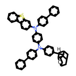 c1ccc(-c2ccc(N(c3ccc([C@@H]4CCC5CC6CC(C5)CC4C6)cc3)c3ccc(N(c4ccc(-c5ccccc5)cc4)c4ccc5c(c4)sc4ccccc45)cc3)cc2)cc1